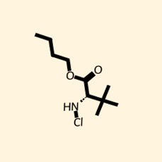 CCCCOC(=O)[C@@H](NCl)C(C)(C)C